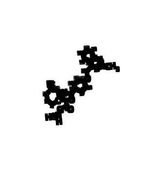 CCN1CCCCC(CC(=O)ONO)(NC(=O)c2ccc(OCc3cc(C)nc4ccccc34)cc2)C1